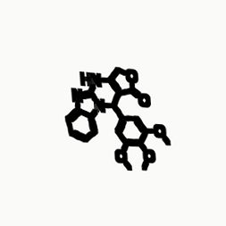 COc1cc(C2C3=C(COC3=O)Nc3nc4ccccc4n32)cc(OC)c1OC